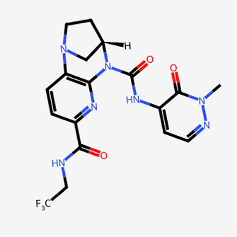 Cn1nccc(NC(=O)N2c3nc(C(=O)NCC(F)(F)F)ccc3N3CC[C@H]2C3)c1=O